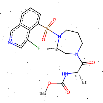 CC[C@H](NC(=O)OC(C)(C)C)C(=O)N1CCCN(S(=O)(=O)c2cccc3cncc(F)c23)[C@@H](C)C1